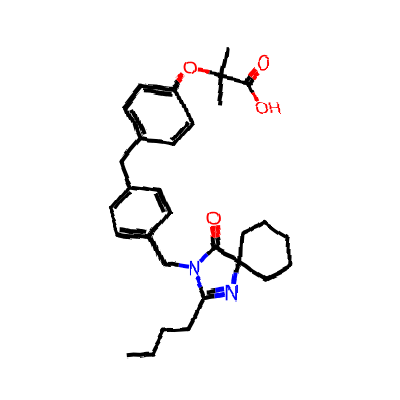 CCCCC1=NC2(CCCCC2)C(=O)N1Cc1ccc(Cc2ccc(OC(C)(C)C(=O)O)cc2)cc1